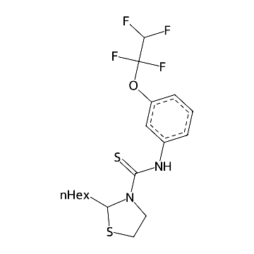 CCCCCCC1SCCN1C(=S)Nc1cccc(OC(F)(F)C(F)F)c1